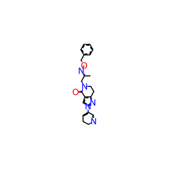 C/C(CN1CCc2nn(C3=CCCN=C3)cc2C1=O)=N\OCc1ccccc1